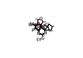 CCSc1nc(C2(C(=O)O)C3CCC2CN(C(=O)OC)C3)c2c3c(c(Br)c(F)c2n1)COC3